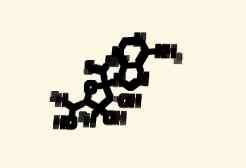 [2H]C(O)[C@H]1O[C@@](C(=S)CCC)(n2cnc3c(N)ncnc32)[C@H](O)[C@]1([2H])O